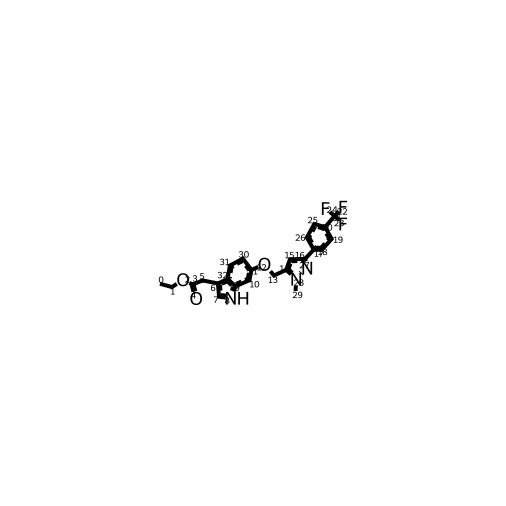 CCOC(=O)Cc1c[nH]c2cc(OCc3cc(-c4ccc(C(F)(F)F)cc4)nn3C)ccc12